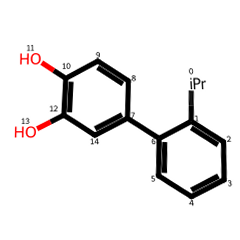 CC(C)c1ccccc1-c1ccc(O)c(O)c1